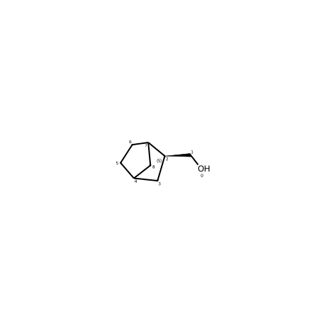 OC[C@H]1CC2CCC1C2